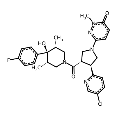 C[C@@H]1CN(C(=O)[C@@H]2CN(c3ccc(=O)n(C)n3)C[C@H]2c2ccc(Cl)cn2)C[C@H](C)[C@]1(O)c1ccc(F)cc1